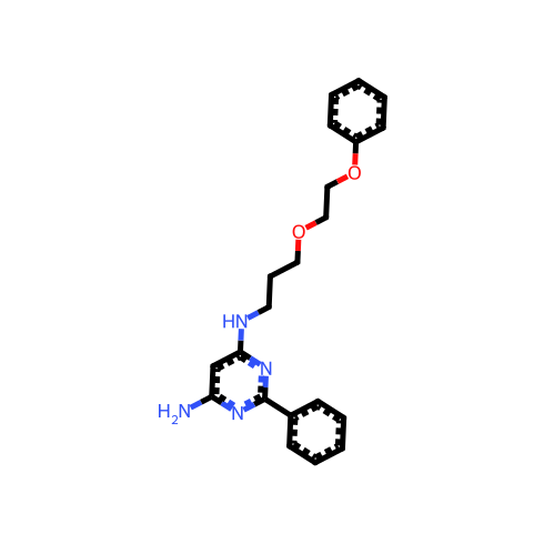 Nc1cc(NCCCOCCOc2ccccc2)nc(-c2ccccc2)n1